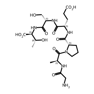 C[C@H](NC(=O)CN)C(=O)N1CCC[C@H]1C(=O)N[C@@H](CCC(=O)O)C(=O)N[C@@H](CO)C(=O)N[C@H](C(=O)O)[C@@H](C)O